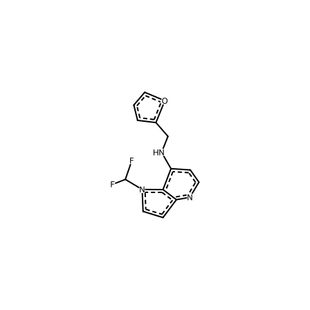 FC(F)n1ccc2nccc(NCc3ccco3)c21